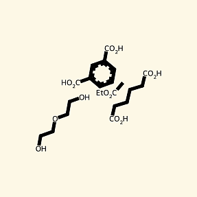 CCOC(C)=O.O=C(O)CCCCC(=O)O.O=C(O)c1cccc(C(=O)O)c1.OCCOCCO